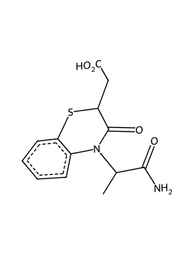 CC(C(N)=O)N1C(=O)C(CC(=O)O)Sc2ccccc21